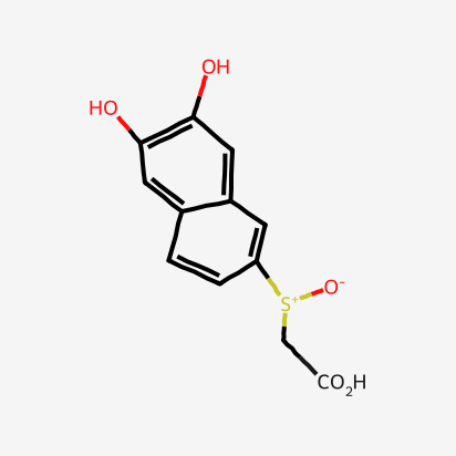 O=C(O)C[S+]([O-])c1ccc2cc(O)c(O)cc2c1